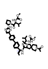 C/C=C(\NC1=NC(C)([C@@H](NC(=O)OC)C(C)C)N2CC3(CCN(C(C)=O)CC3)CC12)c1ccc(-c2ccc(-c3cnc([C@@H]4CCCN4C(=O)[C@@H](NC(=O)OC)C(C)C)[nH]3)cc2)cc1